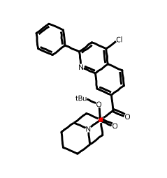 CC(C)(C)OC(=O)N1C2CCCC1CN(C(=O)c1ccc3c(Cl)cc(-c4ccccc4)nc3c1)C2